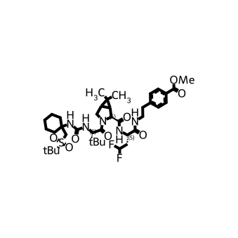 COC(=O)c1ccc(CCNC(=O)[C@H](CC(F)F)NC(=O)[C@@H]2C3C(CN2C(=O)[C@@H](NC(=O)NC2(CS(=O)(=O)C(C)(C)C)CCCCC2)C(C)(C)C)C3(C)C)cc1